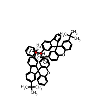 CC(C)(C)c1ccc2c(c1)C1(c3cc(C(C)(C)C)ccc3O2)c2ccccc2-c2ccc(N(c3ccccc3)c3ccc4c(c3)C3(c5ccccc5O4)c4cc(C(C)(C)C)ccc4-c4ccc(C(C)(C)C)cc43)cc21